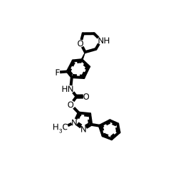 Cn1nc(-c2ccccc2)cc1OC(=O)Nc1ccc([C@@H]2CNCCO2)cc1F